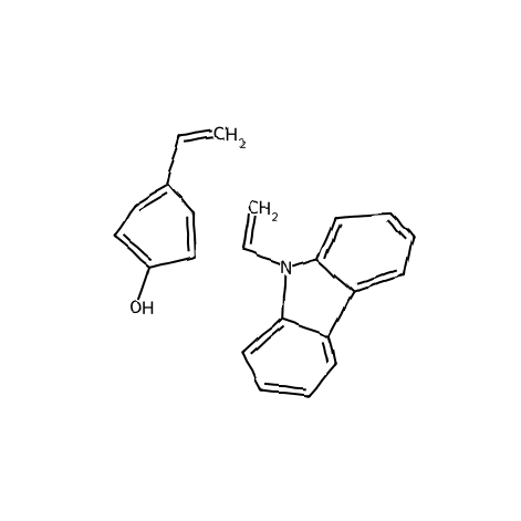 C=Cc1ccc(O)cc1.C=Cn1c2ccccc2c2ccccc21